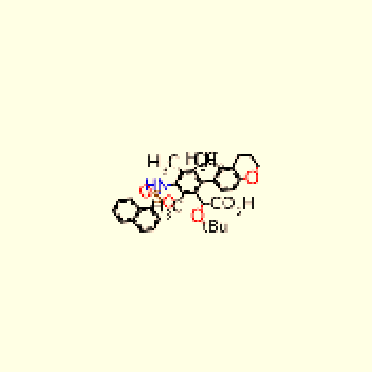 Cc1c(-c2c(C)c(C)c(NS(=O)(=O)c3cccc4ccccc34)c(C)c2C(OC(C)(C)C)C(=O)O)ccc2c1CCCO2